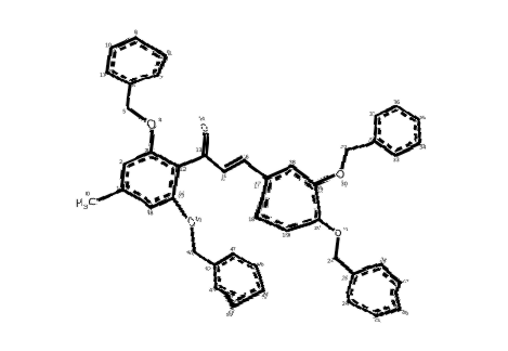 Cc1cc(OCc2ccccc2)c(C(=O)/C=C/c2ccc(OCc3ccccc3)c(OCc3ccccc3)c2)c(OCc2ccccc2)c1